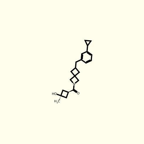 C[C@]1(O)C[C@@H](C(=O)N2CC3(CC(Cc4cccc(C5CC5)c4)C3)C2)C1